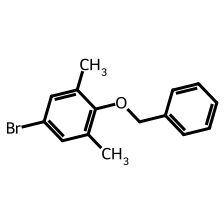 Cc1cc(Br)cc(C)c1OCc1ccccc1